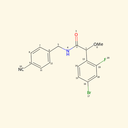 COC(C(=O)NCc1ccc(C#N)cc1)c1ccc(Br)cc1F